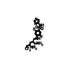 C[C@@H](N)[C@H](CNc1cc(F)c(S(=O)(=O)Nc2ncns2)cc1F)CC(N)CC(F)(F)F